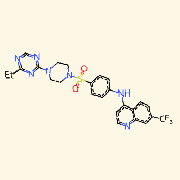 CCc1ncnc(N2CCN(S(=O)(=O)c3ccc(Nc4ccnc5cc(C(F)(F)F)ccc45)cc3)CC2)n1